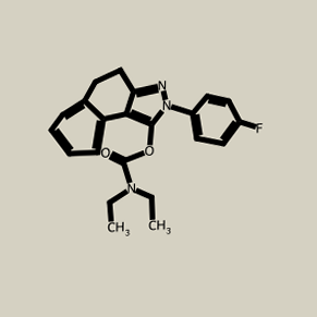 CCN(CC)C(=O)Oc1c2c(nn1-c1ccc(F)cc1)CCc1ccccc1-2